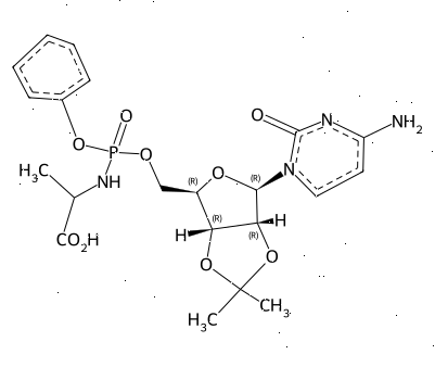 CC(NP(=O)(OC[C@H]1O[C@@H](n2ccc(N)nc2=O)[C@@H]2OC(C)(C)O[C@@H]21)Oc1ccccc1)C(=O)O